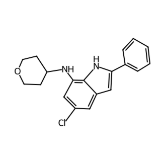 Clc1cc(NC2CCOCC2)c2[nH]c(-c3ccccc3)cc2c1